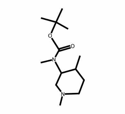 CC1CCN(C)CC1N(C)C(=O)OC(C)(C)C